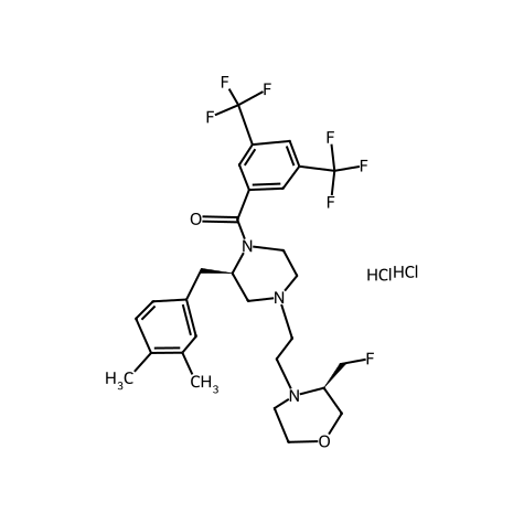 Cc1ccc(C[C@@H]2CN(CCN3CCOC[C@@H]3CF)CCN2C(=O)c2cc(C(F)(F)F)cc(C(F)(F)F)c2)cc1C.Cl.Cl